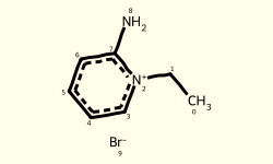 CC[n+]1ccccc1N.[Br-]